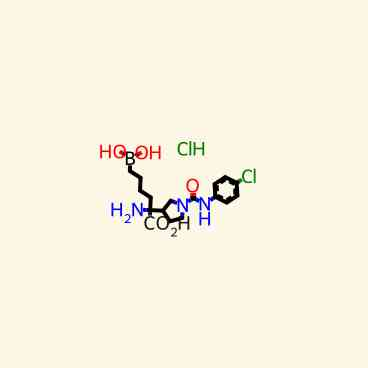 Cl.NC(CCCCB(O)O)(C(=O)O)C1CCN(C(=O)Nc2ccc(Cl)cc2)C1